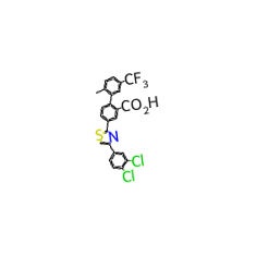 Cc1ccc(C(F)(F)F)cc1-c1ccc(-c2nc(-c3ccc(Cl)c(Cl)c3)cs2)cc1C(=O)O